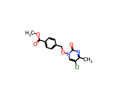 COC(=O)c1ccc(COn2cc(Cl)c(C)nc2=O)cc1